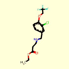 CCOC(=O)CCNCc1ccc(OCC(F)(F)F)c(Cl)c1